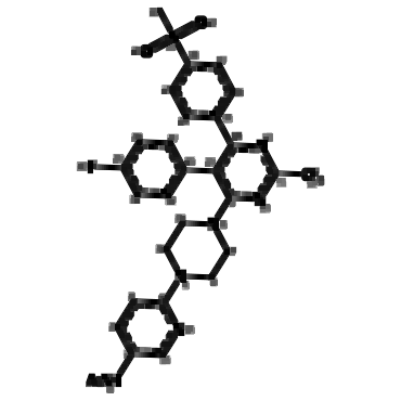 CC(=O)Nc1ccc(N2CCN(c3nc(C(F)(F)F)nc(-c4ccc(S(C)(=O)=O)cc4)c3-c3ccc(F)cc3)CC2)nc1